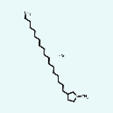 Br.CCCCCCCCCCCCCCCCCCC1CCN(C)C1